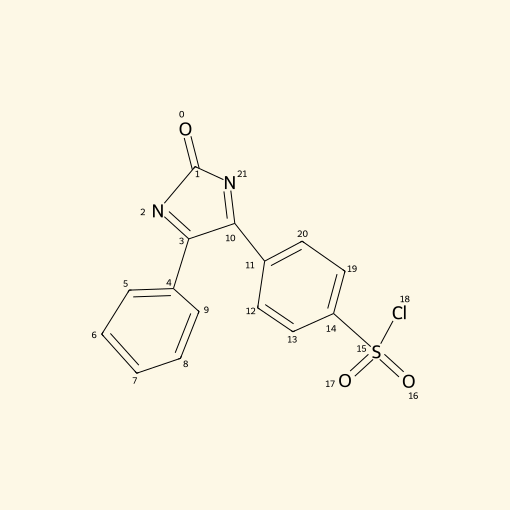 O=C1N=C(c2ccccc2)C(c2ccc(S(=O)(=O)Cl)cc2)=N1